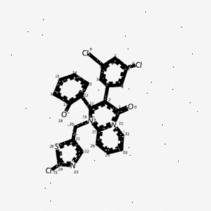 O=c1c(-c2cc(Cl)cc(Cl)c2)c(-c2ccccc2[O-])[n+](Cc2cnc(Cl)s2)c2ccccn12